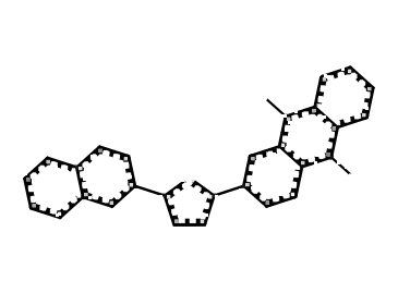 CCc1c2ccccc2c(CC)c2cc(-c3ccc(-c4ccc5ccccc5c4)s3)ccc12